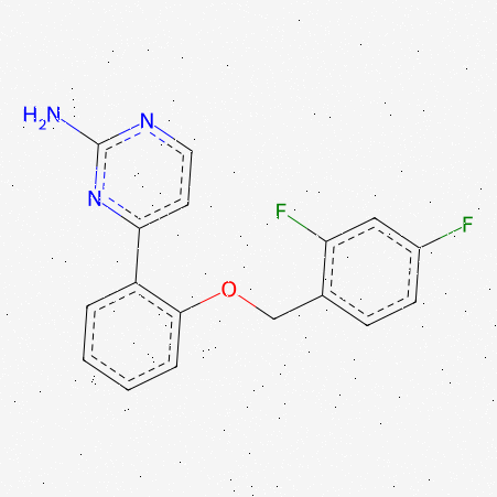 Nc1nccc(-c2ccccc2OCc2ccc(F)cc2F)n1